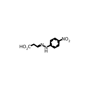 O=C(O)CC=NNc1ccc([N+](=O)[O-])cc1